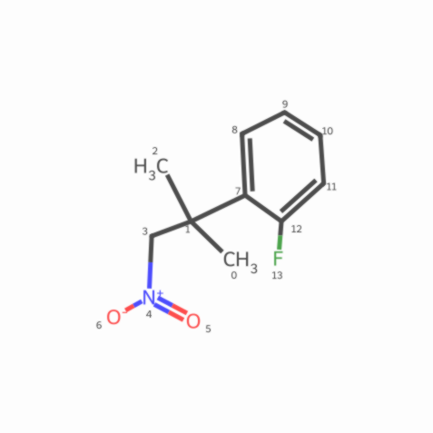 CC(C)(C[N+](=O)[O-])c1ccccc1F